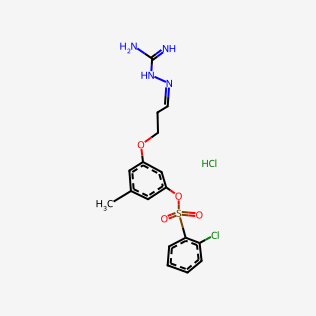 Cc1cc(OCC/C=N\NC(=N)N)cc(OS(=O)(=O)c2ccccc2Cl)c1.Cl